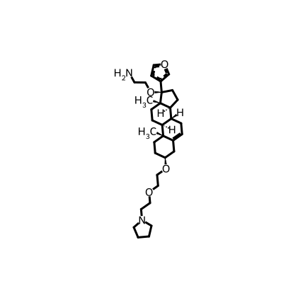 C[C@]12CC[C@H](OCCOCCN3CCCC3)CC1=CC[C@@H]1[C@@H]2CC[C@@]2(C)[C@H]1CC[C@@]2(OCCN)c1ccoc1